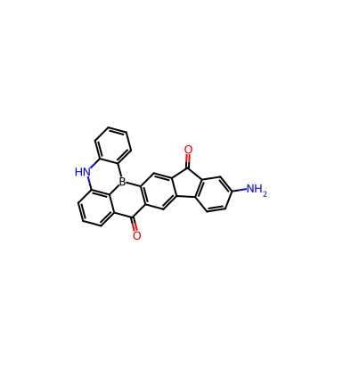 Nc1ccc2c(c1)C(=O)c1cc3c(cc1-2)C(=O)c1cccc2c1B3c1ccccc1N2